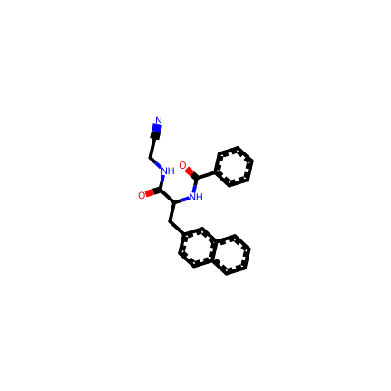 N#CCNC(=O)C(Cc1ccc2ccccc2c1)NC(=O)c1ccccc1